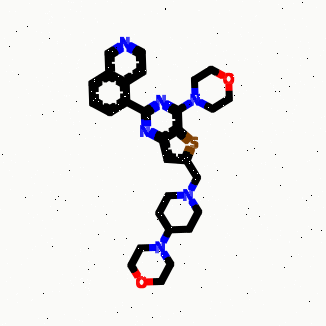 c1cc(-c2nc(N3CCOCC3)c3sc(CN4CCC(N5CCOCC5)CC4)cc3n2)c2ccncc2c1